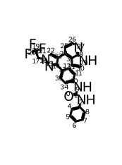 O=C(Nc1ccccc1)Nc1ccc(-c2nn(CC(F)(F)F)cc2-c2ccnc3[nH]ccc23)cc1